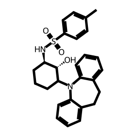 Cc1ccc(S(=O)(=O)N[C@@H]2CCCC(N3c4ccccc4CCc4ccccc43)[C@H]2O)cc1